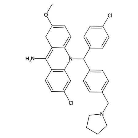 COC1=CC=C2C(=C(N)c3ccc(Cl)cc3N2C(c2ccc(Cl)cc2)c2ccc(CN3CCCC3)cc2)C1